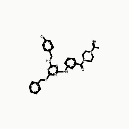 CC(=N)N1CCN(C(=O)c2cccc(Nc3nc(NCc4ccc(Cl)cc4)nc(OCc4ccccc4)n3)c2)CC1